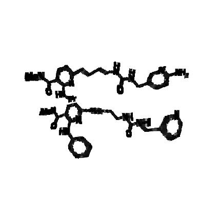 CNC(=O)c1ccc(C#CCCNC(=O)NCc2cccnc2)nc1Nc1ccccc1.CNC(=O)c1ccc(CCCCNC(=O)NCc2ccc(N)nc2)nc1NC(C)C